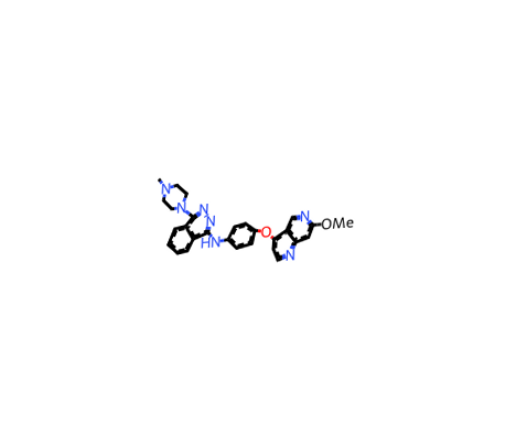 COc1cc2nccc(Oc3ccc(Nc4nnc(N5CCN(C)CC5)c5ccccc45)cc3)c2cn1